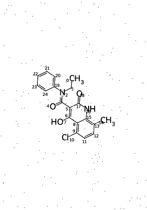 CCN(C(=O)c1c(O)c2c(Cl)ccc(C)c2[nH]c1=O)c1ccccc1